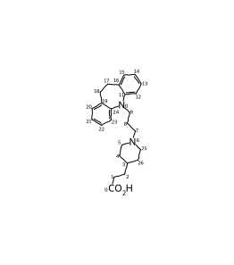 O=C(O)CCC1CCN(CCCN2c3ccccc3CCc3ccccc32)CC1